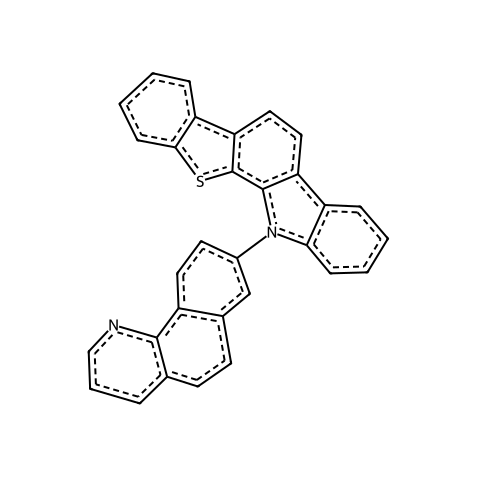 c1cnc2c(c1)ccc1cc(-n3c4ccccc4c4ccc5c6ccccc6sc5c43)ccc12